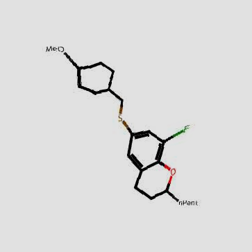 CCCCCC1CCc2cc(SCC3CCC(OC)CC3)cc(F)c2O1